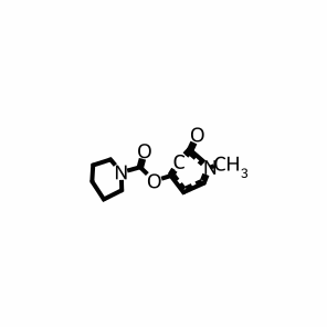 Cn1ccc(OC(=O)N2CCCCC2)cc1=O